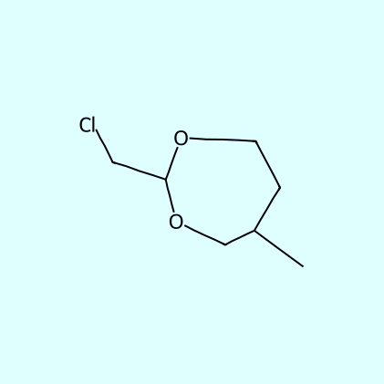 CC1CCOC(CCl)OC1